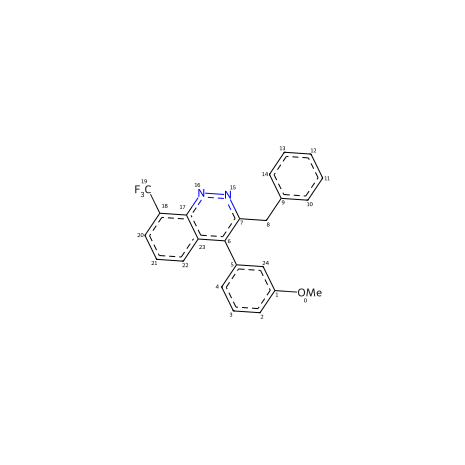 COc1cccc(-c2c(Cc3ccccc3)nnc3c(C(F)(F)F)cccc23)c1